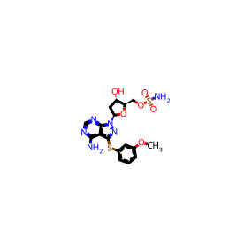 COc1cccc(Sc2nn([C@H]3C[C@H](O)[C@@H](COS(N)(=O)=O)O3)c3ncnc(N)c23)c1